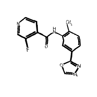 Cc1ccc(-c2nnco2)cc1NC(=O)c1ccncc1F